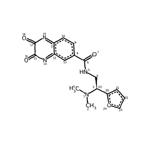 CN(C)[C@@H](CNC(=O)c1ccc2c(c1)=NC(=O)C(=O)N=2)c1ccco1